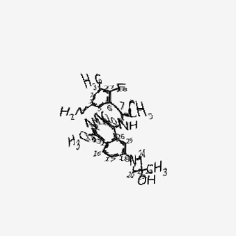 Cc1cc(N)cc([C@@H](C)Nc2nnc(C)c3ccc(N4CC(C)(O)C4)cc23)c1F